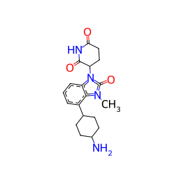 Cn1c(=O)n(C2CCC(=O)NC2=O)c2cccc(C3CCC(N)CC3)c21